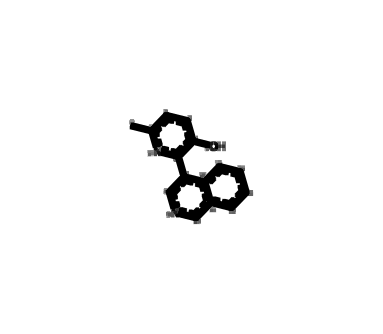 Cc1ccc(O)c(-c2cncc3ccccc23)n1